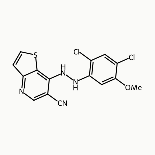 COc1cc(NNc2c(C#N)cnc3ccsc23)c(Cl)cc1Cl